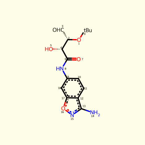 CC(C)(C)O[C@@H](C=O)[C@@H](O)C(=O)Nc1ccc2c(N)noc2c1